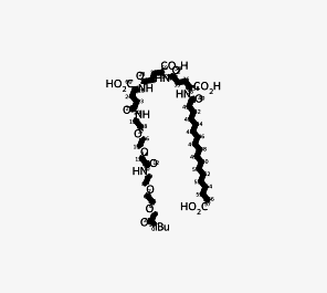 CCC(C)C(=O)COCCOCCNC(=O)COCCOCCNC(=O)CC[C@H](NC(=O)CC[C@H](NC(=O)CC[C@H](NC(=O)CCCCCCCCCCCCCCCCC(=O)O)C(=O)O)C(=O)O)C(=O)O